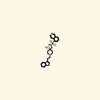 CN(CC1(O)CCN(CCC2=CCc3ccccc32)CC1)S(=O)(=O)c1cccc2cnccc12